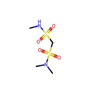 CNS(=O)(=O)[CH]S(=O)(=O)N(C)C